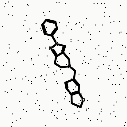 c1ccc(-n2cc3c(n2)CCN(Cc2ccc4c(c2)OCC4)C3)cc1